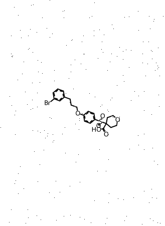 O=C(O)C1(S(=O)(=O)c2ccc(OCCCc3cccc(Br)c3)cc2)CCOCC1